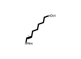 CCCCCC/C=C/CCCCCCCCCCCCC